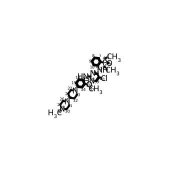 CCP(=O)(CC)c1ccccc1NC1=NC(Nc2ccc(N3CCC(N4CCN(C)CC4)CC3)cc2OC)NC=C1Cl